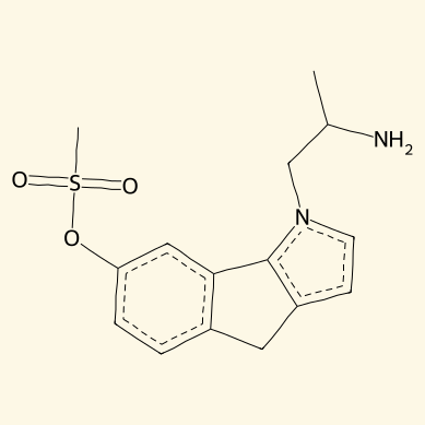 CC(N)Cn1ccc2c1-c1cc(OS(C)(=O)=O)ccc1C2